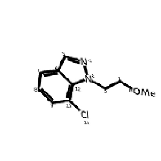 COCCn1ncc2cccc(Cl)c21